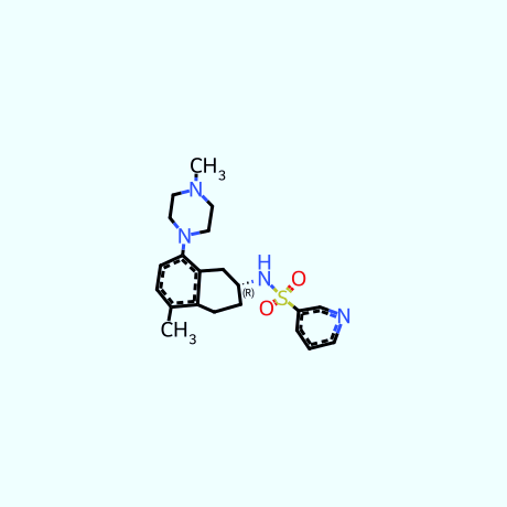 Cc1ccc(N2CCN(C)CC2)c2c1CC[C@@H](NS(=O)(=O)c1cccnc1)C2